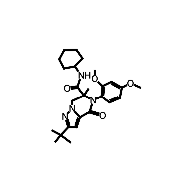 COc1ccc(N2C(=O)c3cc(C(C)(C)C)nn3CC2(C)C(=O)NC2CCCCC2)c(OC)c1